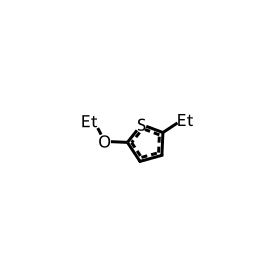 CCOc1ccc(CC)s1